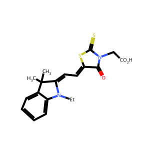 CCN1C(=CC=C2SC(=S)N(CC(=O)O)C2=O)C(C)(C)c2ccccc21